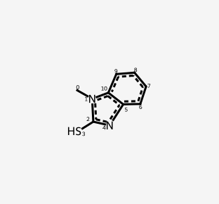 Cn1c(S)nc2ccccc21